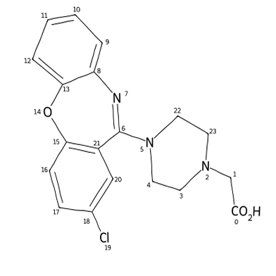 O=C(O)CN1CCN(C2=Nc3ccccc3Oc3ccc(Cl)cc32)CC1